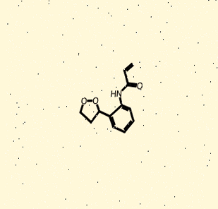 C=CC(=O)Nc1ccccc1C1CCOO1